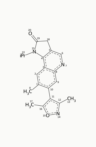 Cc1cc2c3c(cnc2cc1-c1c(C)noc1C)CC(=O)N3C(C)C